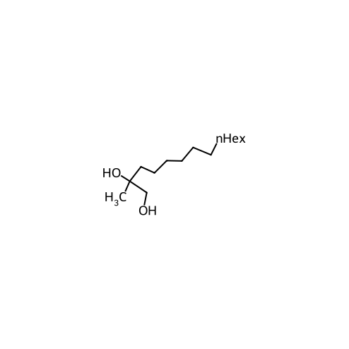 CCCCCCCCCCCCC(C)(O)CO